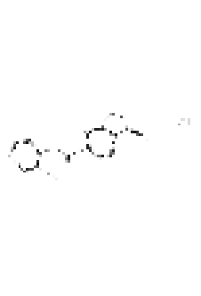 O=C(Cc1ccncc1Br)c1ccc2c(c1)CC/C2=N\OSBr